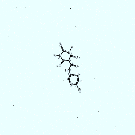 CN1C(=O)C(C(=O)Nc2ccc(Br)cc2)C(=O)N(C)C1=O